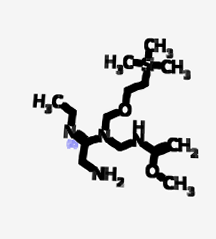 C=C(NCN(COCC[Si](C)(C)C)/C(CN)=N\CC)OC